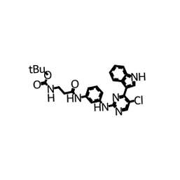 CC(C)(C)OC(=O)NCCC(=O)Nc1cccc(Nc2ncc(Cl)c(-c3c[nH]c4ccccc34)n2)c1